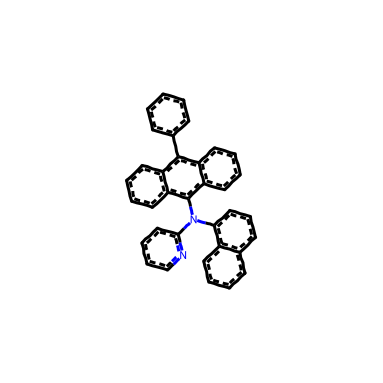 c1ccc(-c2c3ccccc3c(N(c3ccccn3)c3cccc4ccccc34)c3ccccc23)cc1